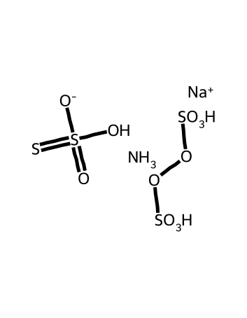 N.O=S(=O)(O)OOS(=O)(=O)O.O=S([O-])(O)=S.[Na+]